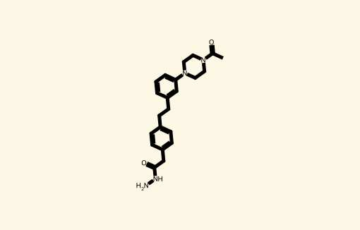 CC(=O)N1CCN(c2cccc(CCc3ccc(CC(=O)NN)cc3)c2)CC1